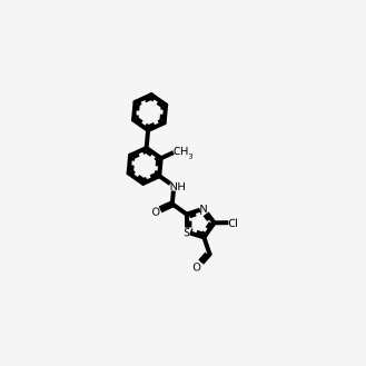 Cc1c(NC(=O)c2nc(Cl)c(C=O)s2)cccc1-c1ccccc1